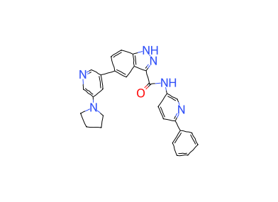 O=C(Nc1ccc(-c2ccccc2)nc1)c1n[nH]c2ccc(-c3cncc(N4CCCC4)c3)cc12